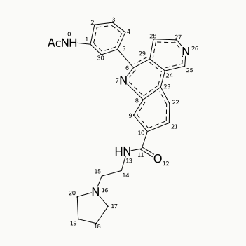 CC(=O)Nc1cccc(-c2nc3cc(C(=O)NCCN4CCCC4)ccc3c3cnccc23)c1